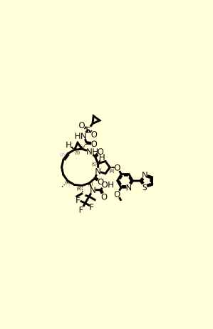 CC[C@@H]1C[C@H](C)CC/C=C\[C@@H]2C[C@@]2(C(=O)NS(=O)(=O)C2CC2)NC(=O)[C@@H]2C[C@@H](Oc3cc(OC)nc(-c4nccs4)c3)CN2C(=O)[C@H]1N(C(=O)O)C(C)(C)C(F)(F)F